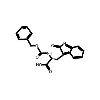 O=C(N[C@@H](CC1=c2ccccc2=NC1=O)C(=O)O)OCc1ccccc1